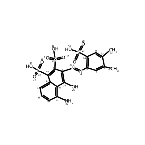 Cc1cc(N=Nc2c(S(=O)(=O)O)c(S(=O)(=O)O)c3cccc(N)c3c2O)c(S(=O)(=O)O)cc1C